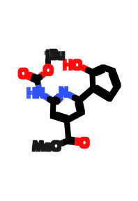 COC(=O)c1cc(NC(=O)OC(C)(C)C)nc(-c2ccccc2O)c1